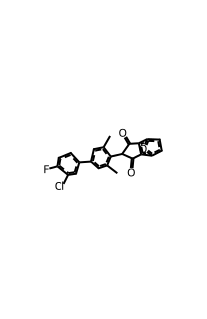 Cc1cc(-c2ccc(F)c(Cl)c2)cc(C)c1C1C(=O)c2c(c3ccc2o3)C1=O